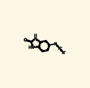 [N-]=[N+]=Nc1ccc2[nH]c(=O)[nH]c2c1